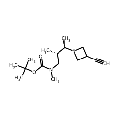 C#CC1CN([C@H](C)[C@@H](C)CN(C)C(=O)OC(C)(C)C)C1